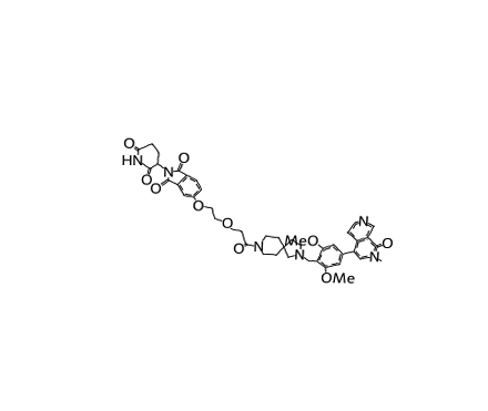 COc1cc(-c2cn(C)c(=O)c3cnccc23)cc(OC)c1CN1CCC2(CCN(C(=O)CCOCCOc3ccc4c(c3)C(=O)N(C3CCC(=O)NC3=O)C4=O)CC2)C1